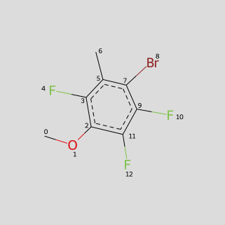 COc1c(F)c(C)c(Br)c(F)c1F